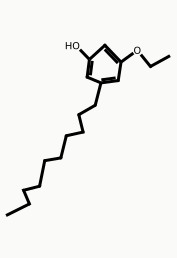 CCCCCCCCCCc1cc(O)cc(OCC)c1